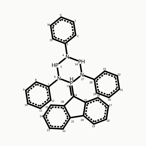 c1ccc(N2PN(c3ccccc3)[PH](=C3c4ccccc4-c4ccccc43)N(c3ccccc3)P2)cc1